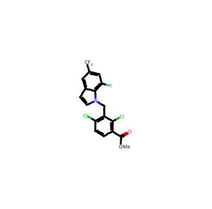 COC(=O)c1ccc(Cl)c(Cn2ccc3cc(C(F)(F)F)cc(F)c32)c1Cl